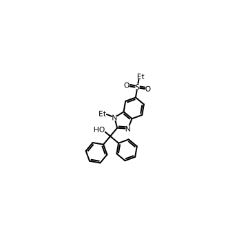 CCn1c(C(O)(c2ccccc2)c2ccccc2)nc2ccc(S(=O)(=O)CC)cc21